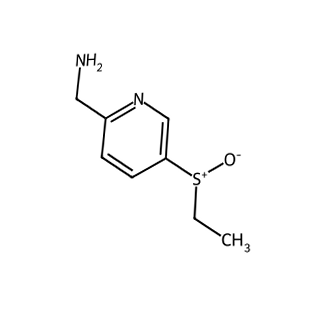 CC[S+]([O-])c1ccc(CN)nc1